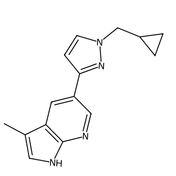 Cc1c[nH]c2ncc(-c3ccn(CC4CC4)n3)cc12